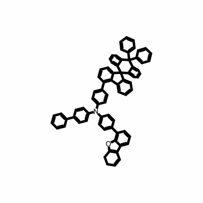 C1=Cc2c(oc3c(-c4ccc(N(c5ccc(-c6ccccc6)cc5)c5ccc(-c6cccc7c6-c6ccccc6C76c7ccccc7C(c7ccccc7)(c7ccccc7)c7ccccc76)cc5)cc4)cccc23)CC1